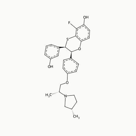 C[C@H]1CCN([C@H](C)COc2ccc([C@@H]3Oc4ccc(O)c(F)c4S[C@@H]3c3cccc(O)c3)cc2)C1